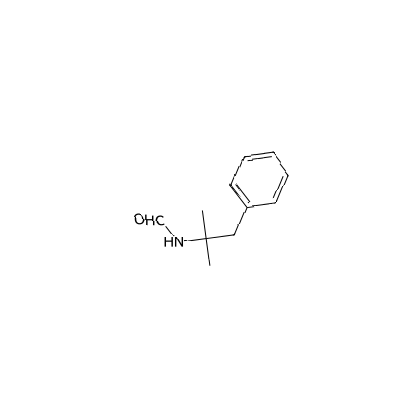 CC(C)(Cc1ccccc1)NC=O